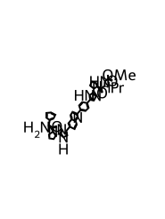 COC(=O)N[C@H](C(=O)N1CCC[C@H]1c1ncc(-c2ccc(-c3ccc4cc(-c5c[nH]c([C@@H]6CCCN6C(=O)[C@H](N)c6ccccc6)n5)ccc4n3)cc2)[nH]1)C(C)C